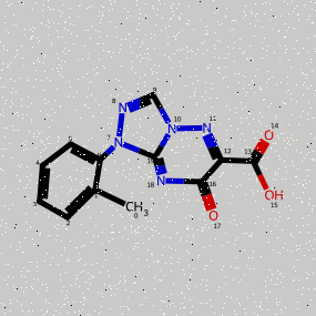 Cc1ccccc1-n1ncn2nc(C(=O)O)c(=O)nc12